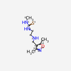 CNC(=S)NCCNCc1c(C)noc1C